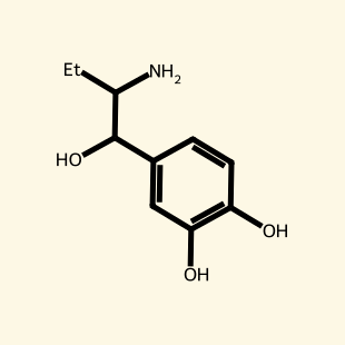 CCC(N)C(O)c1ccc(O)c(O)c1